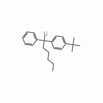 [Li][C](CCCCC)(c1ccccc1)c1ccc(C(C)(C)C)cc1